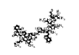 C/C=N\C=C(/C)C[C@H](NC(=O)C1CCCN1C(=O)[C@H](CC=O)NC(=O)C1CCCCN1C=O)C(=O)NC(CCC)C(=O)N1CCCC1C(=O)NCC(=O)NC(CO)C(=O)NC(Cc1csc2ccccc12)C(=O)N(C)[C@@H](CCCC)C(=O)N(C)[C@@H](CCCC)C(=O)NC(CCC=O)C(=O)NC(C)CC